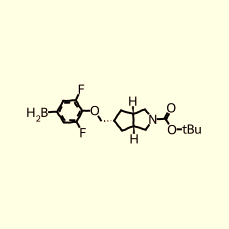 Bc1cc(F)c(OC[C@@H]2C[C@@H]3CN(C(=O)OC(C)(C)C)C[C@@H]3C2)c(F)c1